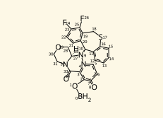 BOc1c2n(ccc1=O)N([C@@H]1c3ccccc3SCc3c1ccc(F)c3F)[C@@H]1COCCN1C2=O